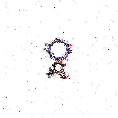 C/C=C/C[C@@H](C)[C@@H](O)[C@H]1C(=O)N[C@@H](CC)C(=O)N(C)CC(=O)N(C)[C@@H](CC(C)C)C(=O)N[C@@H](C(C)C)C(=O)N(C)[C@@H](CC(C)C)C(=O)N[C@@H](C)C(=O)N[C@H](C)C(=O)N(C)[C@@H](CC(C)C)C(=O)N(C)[C@@H](CC(C)C)C(=O)N(C)[C@@H](C(C)C)C(=O)N1C.CC[C@H]1OC(=O)[C@H](C)[C@@H](O[C@H]2C[C@@](C)(OC)[C@@H](O)[C@H](C)O2)[C@H](C)[C@@H](O[C@@H]2O[C@H](C)C[C@H](N(C)C)[C@H]2O)[C@](C)(O)C[C@@H](C)C(=O)[C@H](C)[C@@H](O)[C@]1(C)O